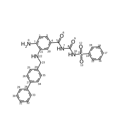 Nc1ccc(C(=O)NC(=O)NS(=O)(=O)c2ccccc2)cc1NCc1ccc(-c2ccccc2)cc1